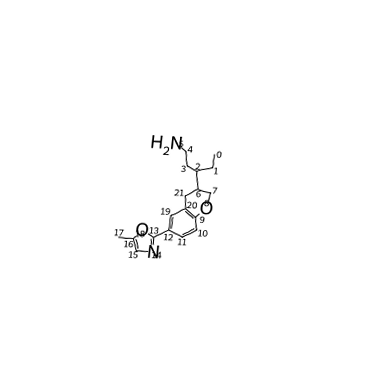 CCC(CCN)C1COc2ccc(-c3ncc(C)o3)cc2C1